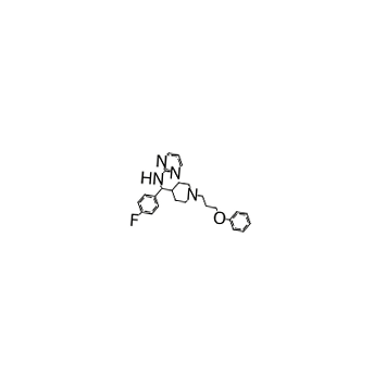 Fc1ccc(C(Nc2ncccn2)C2CCN(CCCOc3ccccc3)CC2)cc1